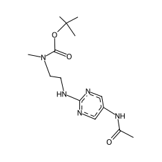 CC(=O)Nc1cnc(NCCN(C)C(=O)OC(C)(C)C)nc1